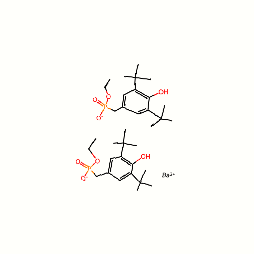 CCOP(=O)([O-])Cc1cc(C(C)(C)C)c(O)c(C(C)(C)C)c1.CCOP(=O)([O-])Cc1cc(C(C)(C)C)c(O)c(C(C)(C)C)c1.[Ba+2]